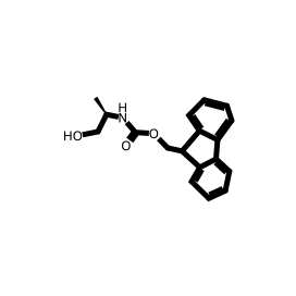 C[C@H](CO)NC(=O)OCC1c2ccccc2-c2ccccc21